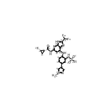 CCS(=O)(=O)Nc1cc(-c2cnn(C)c2)ccc1Nc1cc(NC(=O)[C@@H]2C[C@@H]2F)nc2[nH]c(C(F)F)nc12